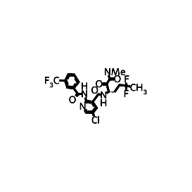 CNC(=O)C(=O)[C@H](CCC(C)(F)F)NC(=O)c1cc(Cl)cnc1NC(=O)c1cccc(C(F)(F)F)c1